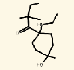 CCNC1(C(=O)C(C)(C)CC)CCC(C)(O)CC1